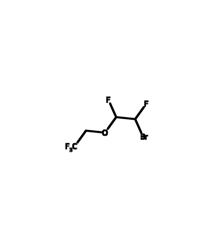 FC(Br)C(F)OCC(F)(F)F